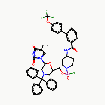 Cc1cn(C2CN(C(c3ccccc3)(c3ccccc3)c3ccccc3)CC(COP(=O)(Cl)N3CCC(NC(=O)c4cccc(-c5ccc(OC(F)(F)F)cc5)c4)CC3)O2)c(=O)[nH]c1=O